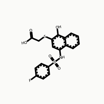 O=C(O)CSc1cc(NS(=O)(=O)c2ccc(F)cc2)c2ccccc2c1O